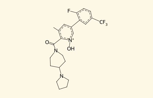 Cc1cc(-c2cc(C(F)(F)F)ccc2F)c[n+](O)c1C(=O)N1CCC(N2CCCC2)CC1